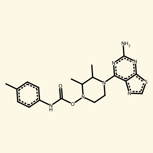 Cc1ccc(NC(=O)ON2CCN(c3nc(N)nc4scnc34)C(C)C2C)cc1